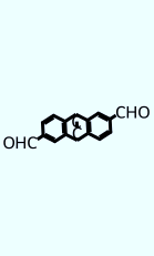 O=Cc1ccc2c(c1)C1CCC2c2cc(C=O)ccc21